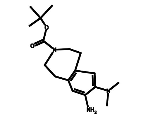 CN(C)c1cc2c(cc1N)CCN(C(=O)OC(C)(C)C)CC2